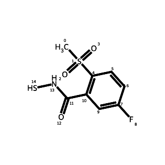 CS(=O)(=O)c1c[c]c(F)cc1C(=O)NS